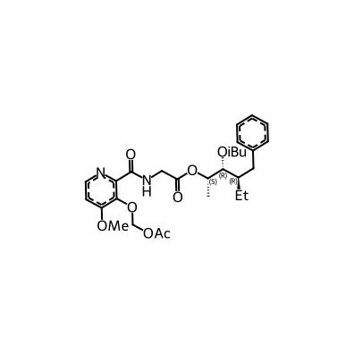 CC[C@H](Cc1ccccc1)[C@@H](OCC(C)C)[C@H](C)OC(=O)CNC(=O)c1nccc(OC)c1OCOC(C)=O